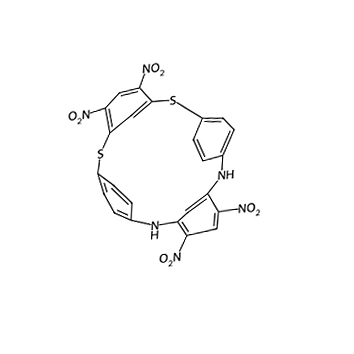 O=[N+]([O-])c1cc([N+](=O)[O-])c2cc1[nH]c1ccc(cc1)sc1cc(sc3ccc(cc3)[nH]2)c([N+](=O)[O-])cc1[N+](=O)[O-]